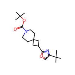 CC(C)(C)OC(=O)N1CCC2(CC1)CC(c1nc(C(C)(C)C)co1)C2